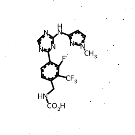 Cn1ccc(Nc2ncnc(-c3ccc(CNC(=O)O)c(C(F)(F)F)c3F)n2)n1